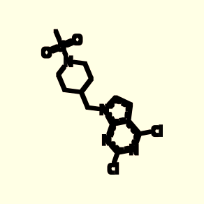 CS(=O)(=O)N1CCC(Cn2ccc3c(Cl)nc(Cl)nc32)CC1